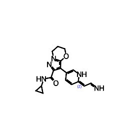 N=C/C=C1/C=CC(c2c(C(=O)NC3CC3)nn3c2OCCC3)=CN1